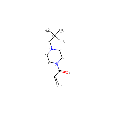 C=CC(=O)N1CCN(CC(C)(C)C)CC1